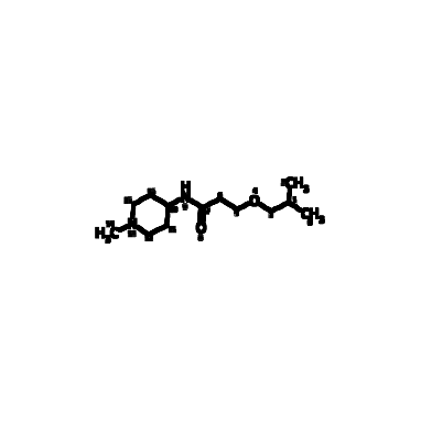 CC(C)COCCC(=O)NC1CCN(C)CC1